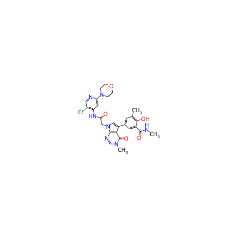 CNC(=O)c1cc(-c2cn(CC(=O)Nc3cc(N4CCOCC4)ncc3Cl)c3ncn(C)c(=O)c23)cc(C)c1O